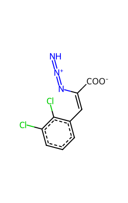 N=[N+]=N/C(=C\c1cccc(Cl)c1Cl)C(=O)[O-]